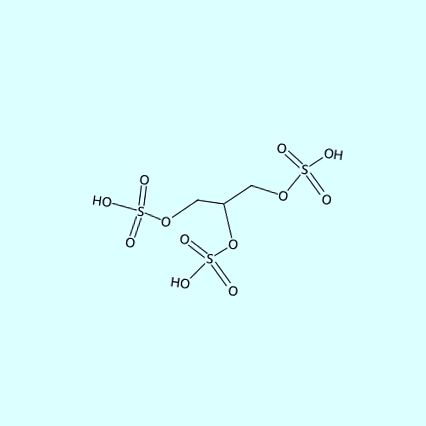 O=S(=O)(O)OCC(COS(=O)(=O)O)OS(=O)(=O)O